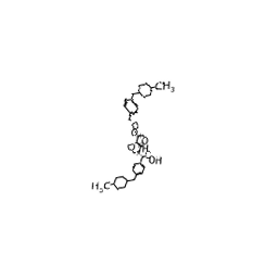 CC1CCC(Cc2ccc(COO[C@H]3CO[C@H]4C3OC[C@H]4C(OO)c3ccc(CC4CCC(C)CC4)cc3)cc2)CC1